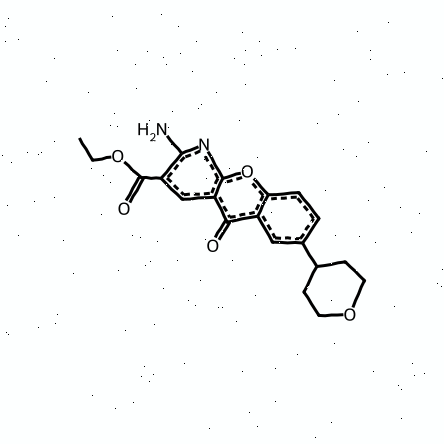 CCOC(=O)c1cc2c(=O)c3cc(C4CCOCC4)ccc3oc2nc1N